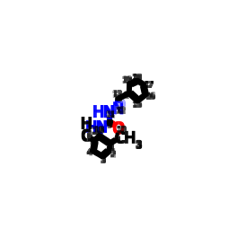 Cc1cccc(C)c1NC(=O)N/N=C/c1ccccc1